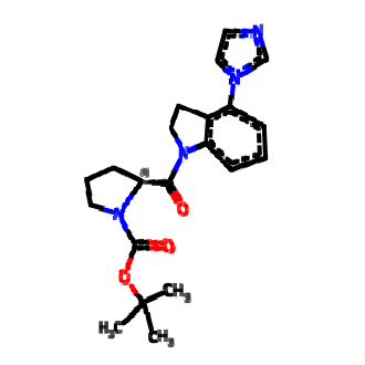 CC(C)(C)OC(=O)N1CCC[C@H]1C(=O)N1CCc2c1cccc2-n1ccnc1